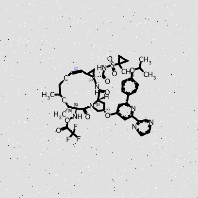 CC1CC/C=C\C2C[C@@]2(C(=O)NS(=O)(=O)C2(C)CC2)NC(=O)[C@@H]2C[C@@H](Oc3cc(-c4ccc(OC(C)C)cc4)nc(-c4cnccn4)c3)CN2C(=O)[C@@H](NOC(=O)C(F)(F)F)[C@H](C)C1